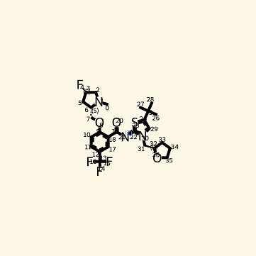 CN1C[C@@H](F)C[C@H]1COc1ccc(C(F)(F)F)cc1C(=O)/N=c1\sc(C(C)(C)C)cn1C[C@H]1CCCO1